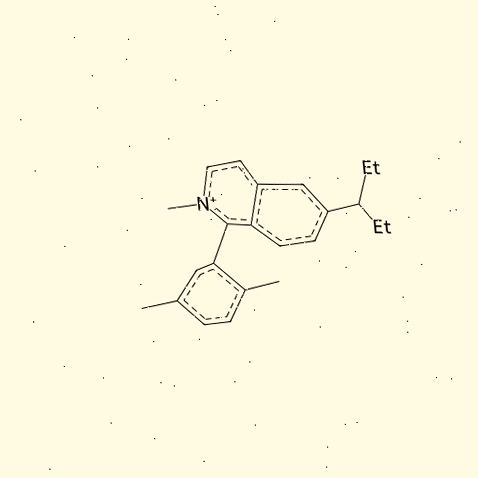 CCC(CC)c1ccc2c(-c3cc(C)ccc3C)[n+](C)ccc2c1